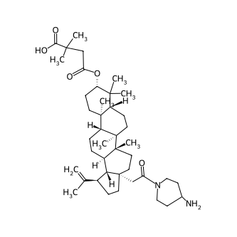 C=C(C)[C@@H]1CC[C@]2(CC(=O)N3CCC(N)CC3)CC[C@]3(C)[C@H](CC[C@@H]4[C@@]5(C)CC[C@H](OC(=O)CC(C)(C)C(=O)O)C(C)(C)[C@@H]5CC[C@]43C)[C@@H]12